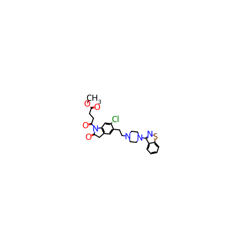 COC(=O)CCC(=O)N1C(=O)Cc2cc(CCN3CCN(c4nsc5ccccc45)CC3)c(Cl)cc21